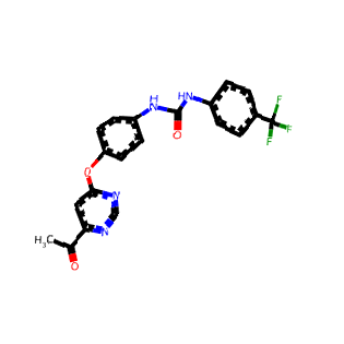 CC(=O)c1cc(Oc2ccc(NC(=O)Nc3ccc(C(F)(F)F)cc3)cc2)ncn1